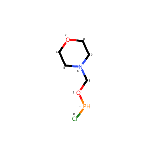 ClPOCN1CCOCC1